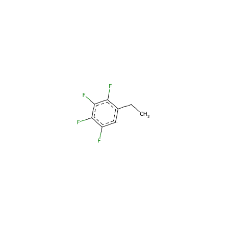 CCc1[c]c(F)c(F)c(F)c1F